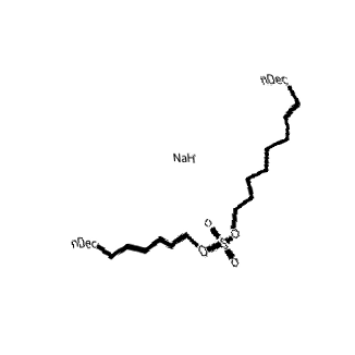 CCCCCCCCCCCCCCCCCCOS(=O)(=O)OCCCCCCCCCCCCCCCC.[NaH]